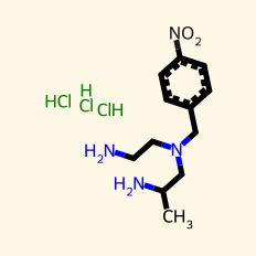 CC(N)CN(CCN)Cc1ccc([N+](=O)[O-])cc1.Cl.Cl.Cl